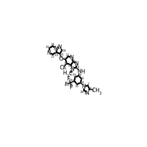 Cc1cn(-c2cc(Nc3nc4ncc(Oc5cnn6ccncc56)c(Cl)c4n3C)cc(C(F)(F)F)c2)cn1